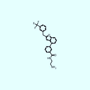 NCCNC(=O)c1cccc(-c2cccc3oc(Cc4cccc(C(F)(F)F)c4)cc23)c1